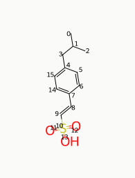 CC(C)Cc1ccc(/C=C/S(=O)(=O)O)cc1